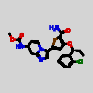 CC[C@H](Oc1cc(-c2cnc3n2C=CC(NC(=O)OC)C3)sc1C(N)=O)c1ccccc1Cl